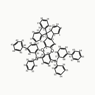 C1=CC2c3cc4c(cc3C3(c5ccccc5-c5ccccc53)C2C=C1)Oc1c(N(c2ccccc2)c2cccc(-c3ccccc3)c2)ccc(N(c2ccccc2)c2cccc(-c3ccccc3)c2)c1O4